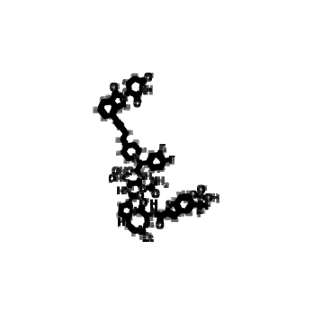 CCN1CC[C@H]2CC[C@@H](C(=O)N[C@H](C=O)C(N[C@H](C=O)C(c3ccc(F)c(F)c3)N3CCC(CCC#Cc4cccc5c4CN(C4CCC(=O)NC4=O)C5=O)CC3)OC(N)=O)N2C(=O)[C@@H](NC(=O)c2cc3cc(C(F)(F)P(=O)(O)O)ccc3s2)C1